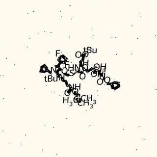 CC(C)(C)OC(=O)CCC(=O)N[C@@H](CSCC(=O)N(CCCNC(=O)OCC[Si](C)(C)C)[C@@H](c1cc(-c2cc(F)ccc2F)cn1Cc1ccccc1)C(C)(C)C)C(=O)NCCS(O)(O)CCNC(=O)OCc1ccccc1